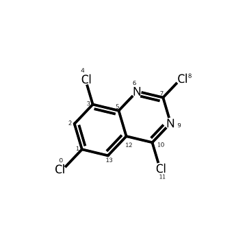 Clc1cc(Cl)c2nc(Cl)nc(Cl)c2c1